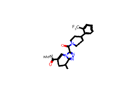 CNC(=O)C1=Cn2c(C(=O)N3CCC(c4ccccc4C(F)(F)F)CC3)nnc2C(C)C1